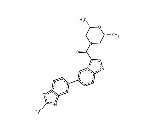 Cc1nc2cc(-c3ccc4ncc(C(=O)N5C[C@@H](C)O[C@@H](C)C5)n4c3)ccc2o1